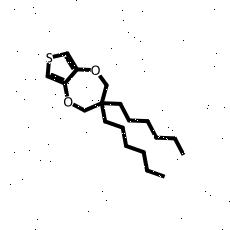 CCCCCCC1(CCCCCC)COc2cscc2OC1